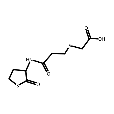 O=C(O)CSCCC(=O)NC1CCSC1=O